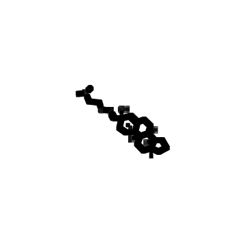 CN(C)CCON=C[C@@]1(O)C=C2CC[C@H]3[C@@H]4CCC[C@@]4(C)CC[C@@H]3[C@@]2(C)CC1